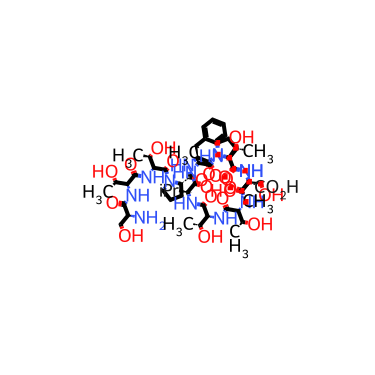 CC(C)[C@H](NC(=O)[C@@H](NC(=O)[C@@H](NC(=O)[C@H](CO)NC(=O)[C@@H]1CCCN1C(=O)[C@H](Cc1ccccc1)NC(=O)[C@@H]1CCCN1C(=O)[C@@H](NC(=O)[C@@H](NC(=O)[C@@H](N)CO)[C@@H](C)O)[C@@H](C)O)[C@@H](C)O)[C@@H](C)O)C(=O)N[C@@H](C)C(=O)N[C@H](C(=O)N[C@H](C(=O)O)[C@@H](C)O)[C@@H](C)O